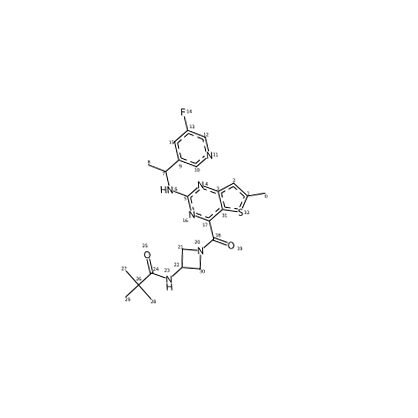 Cc1cc2nc(NC(C)c3cncc(F)c3)nc(C(=O)N3CC(NC(=O)C(C)(C)C)C3)c2s1